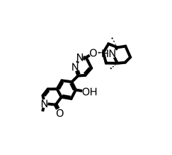 Cn1ccc2cc(-c3ccc(O[C@H]4C[C@]5(C)CCC[C@](C)(C4)N5)nn3)c(O)cc2c1=O